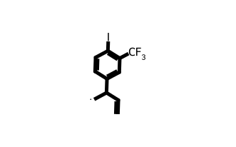 [CH2]C(C=C)c1ccc(I)c(C(F)(F)F)c1